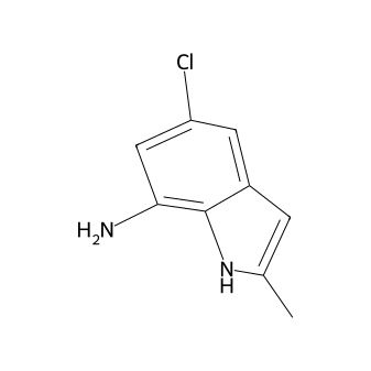 Cc1cc2cc(Cl)cc(N)c2[nH]1